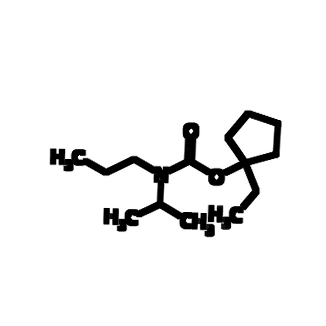 CCCN(C(=O)OC1(CC)CCCC1)C(C)C